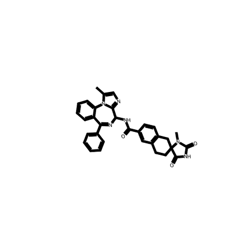 Cc1cnc2n1-c1ccccc1C(c1ccccc1)=NC2NC(=O)c1ccc2c(c1)CCC1(C2)C(=O)NC(=O)N1C